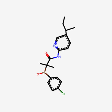 CCC(C)c1ccc(NC(=O)C(C)(C)[S+]([O-])c2ccc(Cl)cc2)nc1